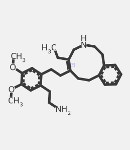 CC/C1=C(\CCc2cc(OC)c(OC)cc2CCN)CCc2ccccc2CCNC1